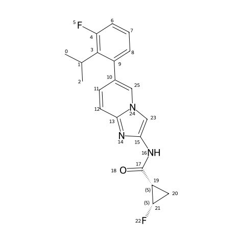 CC(C)c1c(F)cccc1-c1ccc2nc(NC(=O)[C@@H]3C[C@@H]3F)cn2c1